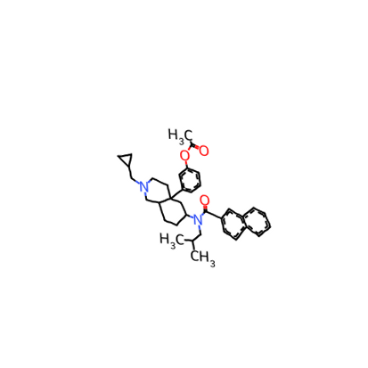 CC(=O)Oc1cccc(C23CCN(CC4CC4)CC2CCC(N(CC(C)C)C(=O)c2ccc4ccccc4c2)C3)c1